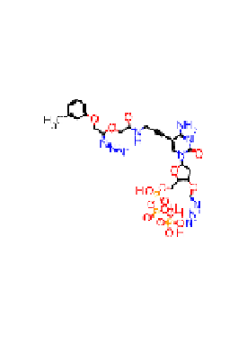 Cc1cccc(OCC(N=[N+]=[N-])OCC(=O)NCC#Cc2cn(C3CC(OCN=[N+]=[N-])C(COP(=O)(O)OP(=O)(O)OP(=O)(O)O)O3)c(=O)nc2N)c1